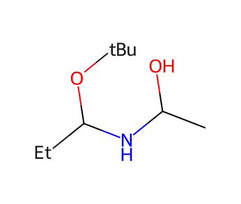 CCC(NC(C)O)OC(C)(C)C